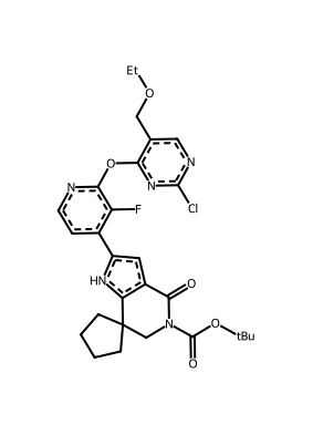 CCOCc1cnc(Cl)nc1Oc1nccc(-c2cc3c([nH]2)C2(CCCC2)CN(C(=O)OC(C)(C)C)C3=O)c1F